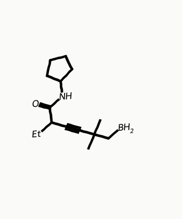 BCC(C)(C)C#CC(CC)C(=O)NC1CCCC1